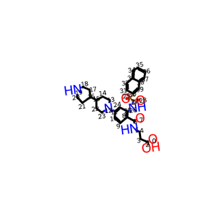 O=C(O)CCNC(=O)c1ccc(N2CCC(C3CCNCC3)CC2)cc1NS(=O)(=O)c1ccc2ccccc2c1